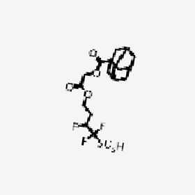 O=C(COC(=O)C12CC3CC(CC(C3)C1)C2)OCCC(F)C(F)(F)S(=O)(=O)O